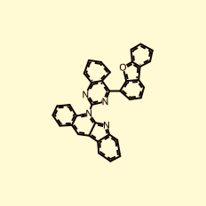 c1ccc2c(c1)cc1c3ccccc3nc-1n2-c1nc(-c2cccc3c2oc2ccccc23)c2ccccc2n1